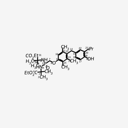 CCOC(=O)C(C)(C)NP(=O)(COc1cc(C)c(Cc2ccc(O)c(C(C)C)c2)c(C)c1C)NC(C)(C)C(=O)OCC